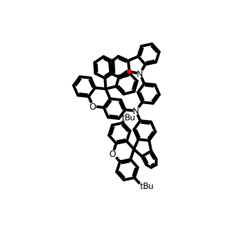 CC(C)(C)c1ccc2c(c1)C1(c3cc(C(C)(C)C)ccc3O2)c2ccccc2-c2ccc(N(c3cccc(-n4c5ccccc5c5ccccc54)c3)c3ccc4c(c3)C(c3ccccc3)(c3ccccc3)c3ccccc3O4)cc21